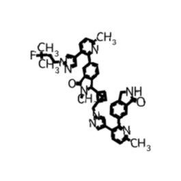 Cc1ccc(-c2cnn(CC34CC(C3)C4C3c4ccc(-c5nc(C)ccc5-c5cnn(CCC(C)(C)F)c5)cc4C(=O)N3C)c2)c(-c2ccc3c(c2)C(=O)NC3)n1